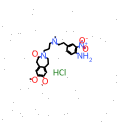 COc1cc2c(cc1OC)CC(=O)N(CCCN(C)CCc1ccc(N)c([N+](=O)[O-])c1)CC2.Cl